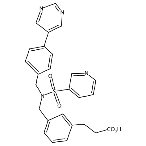 O=C(O)CCc1cccc(CN(Cc2ccc(-c3cncnc3)cc2)S(=O)(=O)c2cccnc2)c1